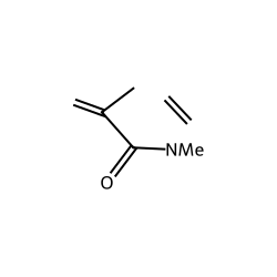 C=C.C=C(C)C(=O)NC